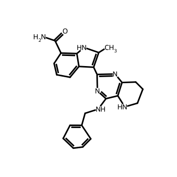 Cc1[nH]c2c(C(N)=O)cccc2c1-c1nc2c(c(NCc3ccccc3)n1)NCCC2